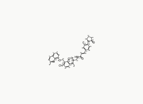 Cc1ccc2cccc(OCc3c(Cl)ccc(N(C)C(=O)CNC(=O)C=Cc4ccc(N5CCCC5=O)c(C)c4)c3Cl)c2n1